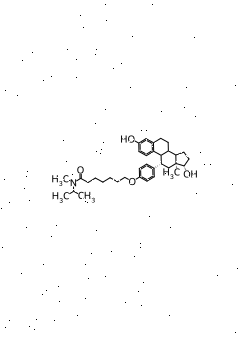 CC(C)N(C)C(=O)CCCCCCOc1ccc([C@H]2C[C@@]3(C)C(CC[C@@H]3O)C3CCc4cc(O)ccc4C32)cc1